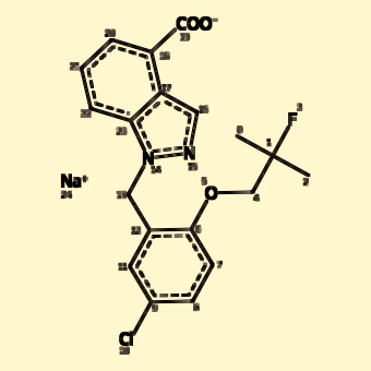 CC(C)(F)COc1ccc(Cl)cc1Cn1ncc2c(C(=O)[O-])cccc21.[Na+]